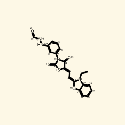 CCN1C(=CC=C2SC(=S)N(c3cccc(NNC=O)c3)C2=O)Oc2ccccc21